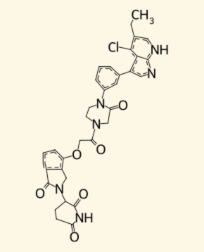 CCc1c[nH]c2ncc(-c3cccc(N4CCN(C(=O)COc5cccc6c5CN(C5CCC(=O)NC5=O)C6=O)CC4=O)c3)c-2c1Cl